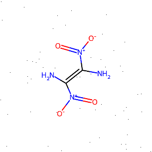 NC(=C(N)[N+](=O)[O-])[N+](=O)[O-]